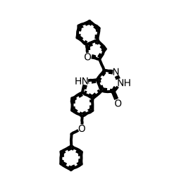 O=c1[nH]nc(-c2cc3ccccc3o2)c2[nH]c3ccc(OCc4ccccc4)cc3c12